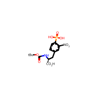 CC(C)(C)OC(=O)N[C@@H](Cc1ccc(P(=O)(O)O)c([N+](=O)[O-])c1)C(=O)O